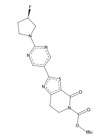 CC(C)(C)OC(=O)N1CCc2nc(-c3cnc(N4CC[C@@H](F)C4)nc3)sc2C1=O